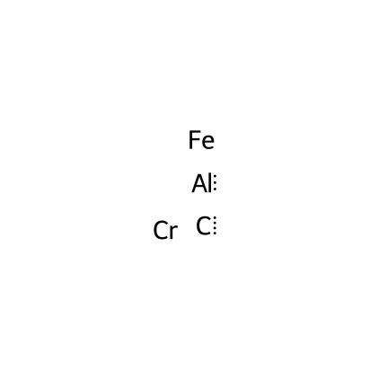 [Al].[C].[Cr].[Fe]